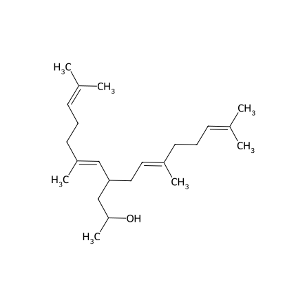 CC(C)=CCC/C(C)=C/CC(/C=C(\C)CCC=C(C)C)CC(C)O